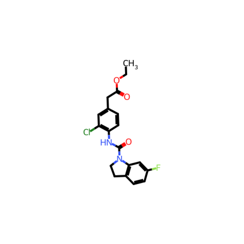 CCOC(=O)Cc1ccc(NC(=O)N2CCc3ccc(F)cc32)c(Cl)c1